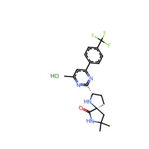 Cc1cc(-c2ccc(C(F)(F)F)cc2)nc([C@@H]2CC[C@@]3(CC(C)(C)NC3=O)N2)n1.Cl